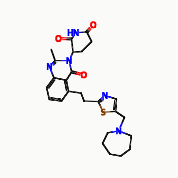 Cc1nc2cccc(CCc3ncc(CN4CCCCCC4)s3)c2c(=O)n1C1CCC(=O)NC1=O